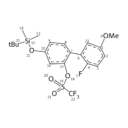 COc1ccc(F)c(-c2ccc(O[Si](C)(C)C(C)(C)C)cc2OS(=O)(=O)C(F)(F)F)c1